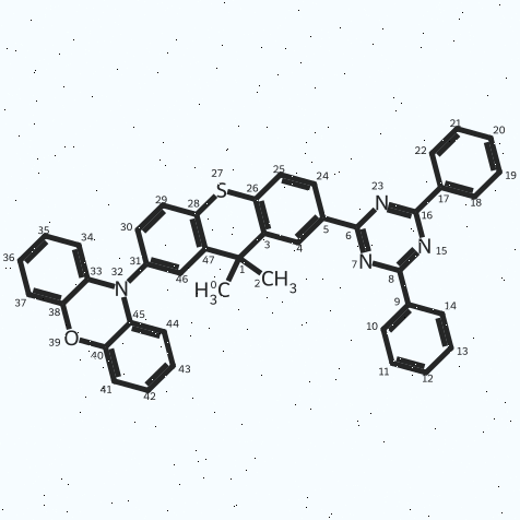 CC1(C)c2cc(-c3nc(-c4ccccc4)nc(-c4ccccc4)n3)ccc2Sc2ccc(N3c4ccccc4Oc4ccccc43)cc21